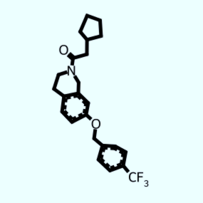 O=C(CC1CCCC1)N1CCc2ccc(OCc3ccc(C(F)(F)F)cc3)cc2C1